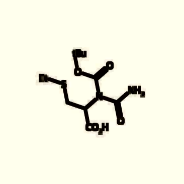 CCSCC(C(=O)O)N(C(N)=O)C(=O)OC(C)(C)C